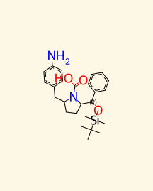 CC(C)(C)[Si](C)(C)O[C@H](c1ccccc1)C1CCC(Cc2ccc(N)cc2)N1C(=O)O